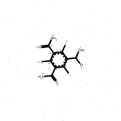 CCC(OC(C)=O)c1c(I)c(C(N)=O)c(I)c(C(N)=O)c1I